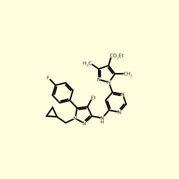 CCOC(=O)c1c(C)nn(-c2cc(Nc3nn(CC4CC4)c(-c4ccc(F)cc4)c3CC)ncn2)c1C